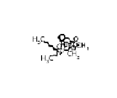 CCCCCCC(=O)N(CCC)C[C@H](OC)[C@@H](C)C(=O)N[C@@H](Cc1ccccc1)C(=O)OC